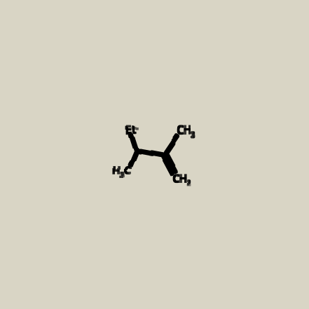 C=C(C)C(C)[CH]C